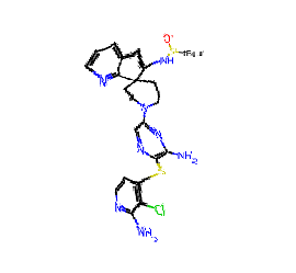 CC(C)(C)[S+]([O-])NC1Cc2cccnc2C12CCN(c1cnc(Sc3ccnc(N)c3Cl)c(N)n1)CC2